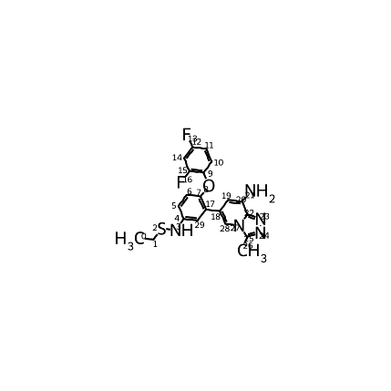 CCSNc1ccc(Oc2ccc(F)cc2F)c(-c2cc(N)c3nnc(C)n3c2)c1